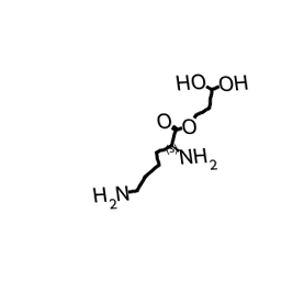 NCCCC[C@H](N)C(=O)OCCC(O)O